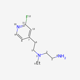 CCN(CCN)CCc1ccnc(F)c1